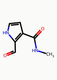 CNC(=O)c1cc[nH]c1C=O